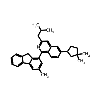 Cc1cc2c(c(-c3nc(CC(C)C)cc4cc(C5CCC(C)(C)C5)ccc34)c1)Cc1ccccc1-2